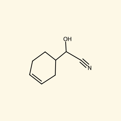 N#CC(O)C1CC=CCC1